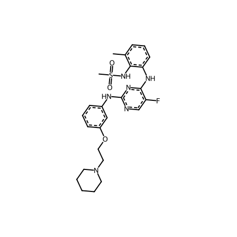 Cc1cccc(Nc2nc(Nc3cccc(OCCN4CCCCC4)c3)ncc2F)c1NS(C)(=O)=O